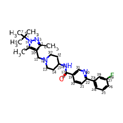 Cc1nn(C(C)(C)C)c(C)c1CN1CCC(NC(=O)c2ccc(-c3cccc(F)c3)nc2)CC1